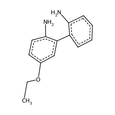 CCOc1ccc(N)c(-c2ccccc2N)c1